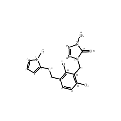 CCn1nccc1OCc1ccc(Cl)c(Cn2nnn(C(C)(C)C)c2=O)c1Cl